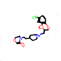 O=C1COCCN1CCC1CCN(CC2COc3ccc(Cl)cc3O2)CC1